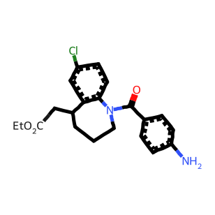 CCOC(=O)CC1CCCN(C(=O)c2ccc(N)cc2)c2ccc(Cl)cc21